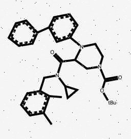 Cc1cccc(CN(C(=O)C2CN(C(=O)OC(C)(C)C)CCN2c2cccc(-c3ccccc3)c2)C2CC2)c1C